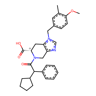 COc1ccc(Cn2cnc3c2C[C@@H](C(=O)O)N(C(=O)C(c2ccccc2)C2CCCC2)C3)cc1C